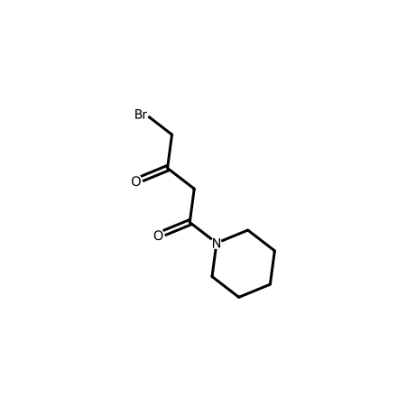 O=C(CBr)CC(=O)N1CCCCC1